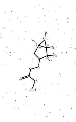 C=C(CO)CCC1C[C@@]2(C)[C@H](C)C2(C)C1(C)C